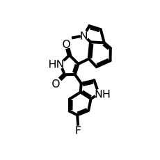 Cn1ccc2cccc(C3=C(c4c[nH]c5cc(F)ccc45)C(=O)NC3=O)c21